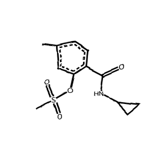 Cc1ccc(C(=O)NC2CC2)c(OS(C)(=O)=O)c1